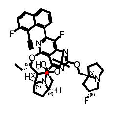 C#Cc1c(F)ccc2cccc(-c3nc4c5c(nc(OC[C@@]67CCCN6C[C@H](F)C7)nc5c3F)N3C[C@H]5CC[C@@H]([C@H]3[C@H](CC)O4)N5C(=O)OC(C)(C)C)c12